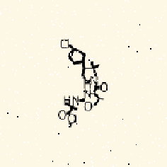 COC(=O)C(C)(C)NC(=O)N[C@@H](C(=O)N1CCC(c2ccc(Cl)cc2)C(C)(C)C1)C(C)C